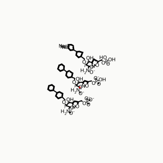 C[C@@](OCc1ccc(-c2ccccc2)cc1)(C(=O)[NH2+][O-])[C@@H](O)c1cc(COP(=O)(O)O)on1.C[C@@](OCc1ccc(-c2ccccc2)cc1)(C(=O)[NH2+][O-])[C@@H](O)c1cc(COP(=O)([O-])O)on1.C[C@@](OCc1ccc(-c2ccccc2)cc1)(C(=O)[NH2+][O-])[C@@H](O)c1cc(COP(=O)([O-])[O-])on1.[Na+].[Na+].[Na+]